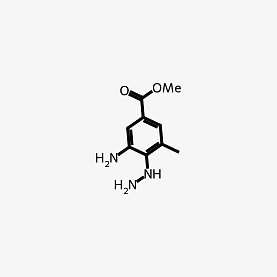 COC(=O)c1cc(C)c(NN)c(N)c1